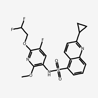 COc1nc(OCC(F)F)c(F)cc1NS(=O)(=O)c1cccc2nc(C3CC3)ccc12